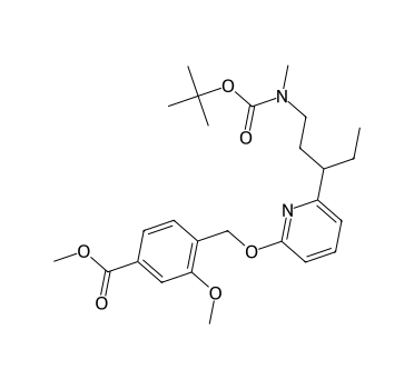 CCC(CCN(C)C(=O)OC(C)(C)C)c1cccc(OCc2ccc(C(=O)OC)cc2OC)n1